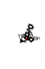 Oc1ccc2c3c1O[C@H]1C(=NOC4CCCCC4)CCC4(O)[C@@H](C2)N(CC2CC2)CC[C@]314